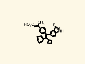 CC(=CC(=O)O)c1ccc(C(=C(c2ccccc2)C2CCC2)c2ccc3[nH]nc(F)c3c2)cc1